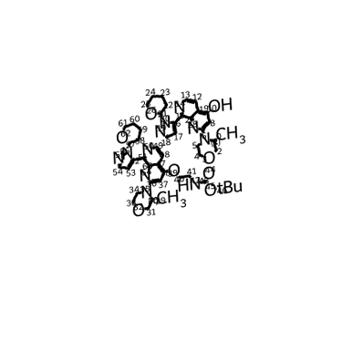 C[C@@H]1COCCN1c1cc(O)c2ccnc(-c3ccnn3C3CCCCO3)c2n1.C[C@@H]1COCCN1c1cc(OCCNC(=O)OC(C)(C)C)c2ccnc(-c3ccnn3C3CCCCO3)c2n1